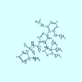 COc1cccc(OC)c1-c1ccc(C(=O)NS(=O)(=O)c2cccnc2N)c(N2CCC(C)C2(C)C)n1